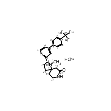 CN1[C@H](c2cc(-c3ccc(C(F)(F)F)cc3)ccn2)CCC12CCNC(=O)C2.Cl